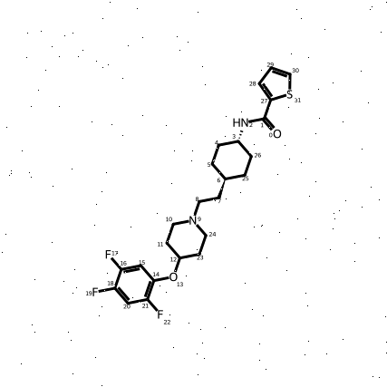 O=C(N[C@H]1CC[C@H](CCN2CCC(Oc3cc(F)c(F)cc3F)CC2)CC1)c1cccs1